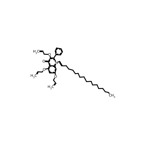 C=CCOc1cc(OCC=C)c2c(=O)c(OCC=C)c(-c3ccccc3)n(C=CCCCCCCCCCCCCCCCC)c2c1